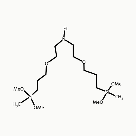 CCN(CCOCCC[Si](C)(OC)OC)CCOCCC[Si](C)(OC)OC